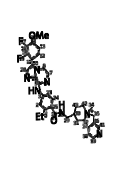 CCc1cc(Nc2nccn3c(-c4ccc(OC)c(F)c4F)cnc23)ccc1C(=O)NCC1CC[N+](C)(Cc2cccnc2)CC1